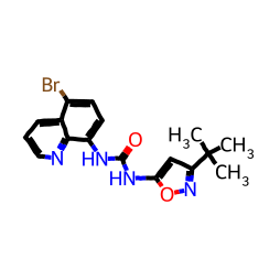 CC(C)(C)c1cc(NC(=O)Nc2ccc(Br)c3cccnc23)on1